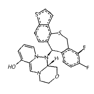 OC1=CC=CN2C1=CN1CCOC[C@H]1N2[C@@H]1c2ccc(F)c(F)c2CSc2c1ccc1sccc21